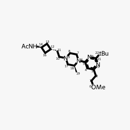 COCCc1cc(N2CCN(CC[C@H]3C[C@H](NC(C)=O)C3)C[C@@H]2C)nc(C(C)(C)C)n1